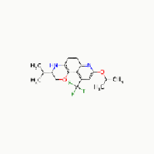 CC(C)Oc1cc(C(F)(F)F)c2c3c(ccc2n1)NC(C(C)C)CO3